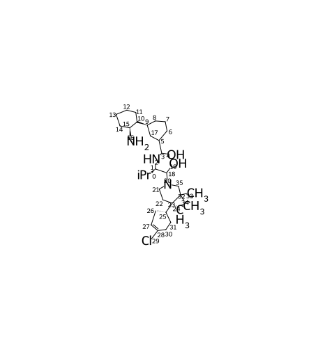 CC(C)[C@@H](NC(O)C1CCC[C@H](C2CCCC[C@@H]2N)C1)C(O)N1CC[C@](C)([C@H]2CC=C(Cl)CC2)C(C)(C)C1